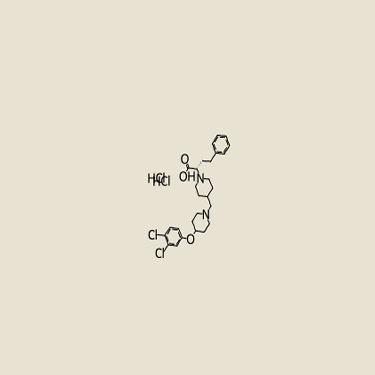 Cl.Cl.O=C(O)[C@H](CCc1ccccc1)N1CCC(CN2CCC(Oc3ccc(Cl)c(Cl)c3)CC2)CC1